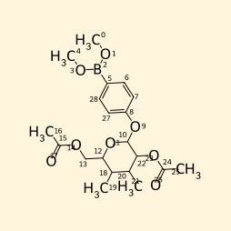 COB(OC)c1ccc(OC2OC(COC(C)=O)C(C)C(C)C2OC(C)=O)cc1